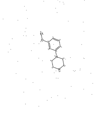 CCOc1cccc(N2CC[N]CC2)c1